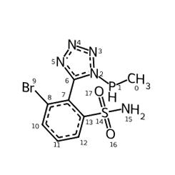 CPn1nnnc1-c1c(Br)cccc1S(N)(=O)=O